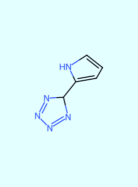 c1c[nH]c(C2N=NN=N2)c1